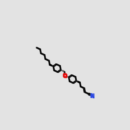 CCCCCCC[C@H]1CC[C@H](CO[C@H]2CC[C@H](CCC=CC#N)CC2)CC1